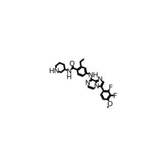 CCc1cc(Nc2nccn3c(-c4ccc(OC)c(F)c4F)cnc23)ccc1C(=O)NC1CCCNC1